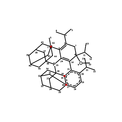 COC1=C(C(C)C)CC(OC)(C(C)C)C(c2ccccc2C(C)C)=C1P(C12CC3CC(CC(C3)C1)C2)C12CC3CC(CC(C3)C1)C2